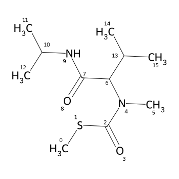 CSC(=O)N(C)C(C(=O)NC(C)C)C(C)C